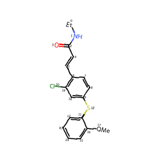 CCNC(=O)/C=C/c1ccc(Sc2ccccc2OC)cc1Cl